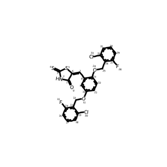 O=C1NC(=S)SC1=Cc1cc(OCc2c(F)cccc2Cl)ccc1OCc1c(F)cccc1Cl